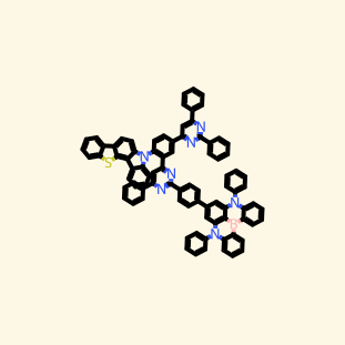 c1ccc(-c2cc(-c3ccc(-n4c5ccccc5c5c6sc7ccccc7c6ccc54)c(-c4cc(-c5ccccc5)nc(-c5ccc(-c6cc7c8c(c6)N(c6ccccc6)c6ccccc6B8c6ccccc6N7c6ccccc6)cc5)n4)c3)nc(-c3ccccc3)n2)cc1